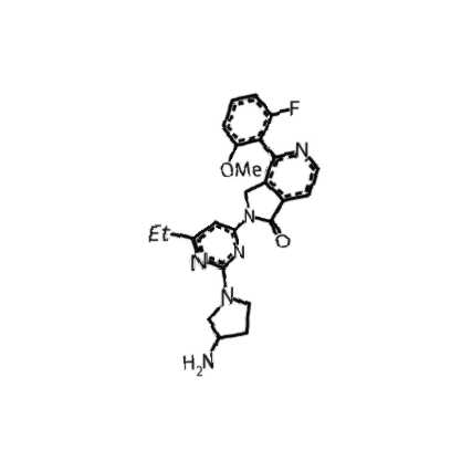 CCc1cc(N2Cc3c(ccnc3-c3c(F)cccc3OC)C2=O)nc(N2CCC(N)C2)n1